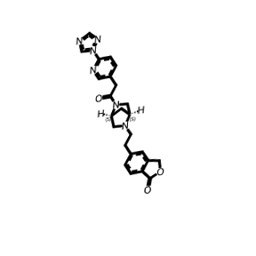 O=C1OCc2cc(CCN3C[C@@H]4C[C@H]3CN4C(=O)Cc3ccc(-n4cncn4)nc3)ccc21